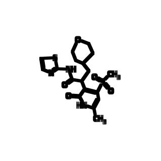 Cc1cc(S(C)(=O)=O)c(C(CC2CCOCC2)C(=O)Nc2nccs2)c(=O)[nH]1